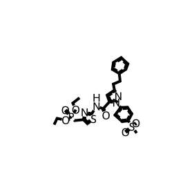 CCOP(=O)(Cc1csc(NC(=O)c2cc(CCc3ccccc3)nn2-c2ccc(S(C)(=O)=O)cc2)n1)OCC